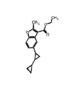 CCOC(=O)c1c(C)oc2ccc(C3CC3C3CC3)cc12